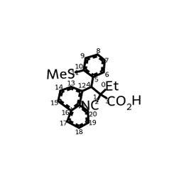 CCC(C#N)(C(=O)O)C(c1ccccc1SC)c1cccc2ccccc12